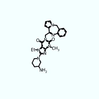 CCn1c(N2CCCC(N)C2)nc2c1c(=O)n(CC1=Nc3ccccc3Cn3cccc31)c(=O)n2C